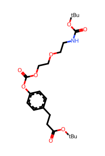 CC(C)(C)OC(=O)CCc1ccc(OC(=O)OCCOCCNC(=O)OC(C)(C)C)cc1